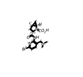 CN(C)Cc1ccc(Br)nc1NC(=O)[C@@H]1C[C@@]2(C)C[C@H]2N1C(=O)O